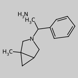 CC(c1ccccc1)N1CC2CC2(C)C1.N